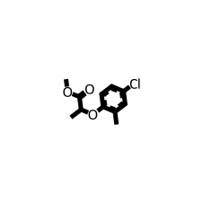 COC(=O)C(C)Oc1ccc(Cl)cc1C